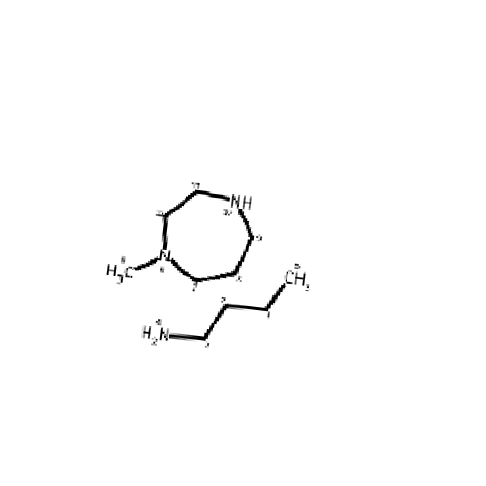 CCCCN.CN1CCCNCC1